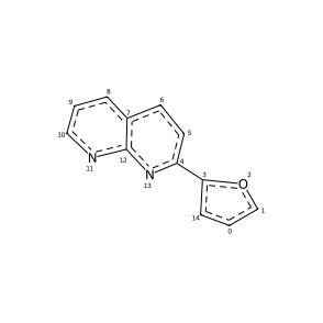 c1coc(-c2ccc3cccnc3n2)c1